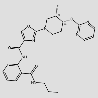 CCCNC(=O)c1ccccc1NC(=O)c1coc(N2CC[C@@H](Oc3ncccn3)[C@@H](F)C2)n1